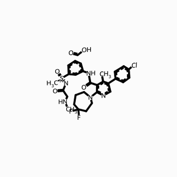 CNCC(=O)N=[S@](C)(=O)c1cccc(NC(=O)c2c(N3CCCC(F)(F)CC3)ncc(-c3ccc(Cl)cc3)c2C)c1.O=CO